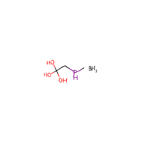 B.CPCC(O)(O)O